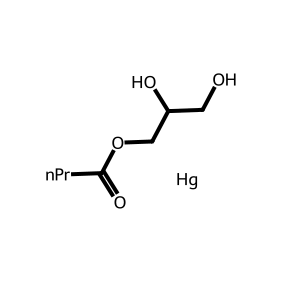 CCCC(=O)OCC(O)CO.[Hg]